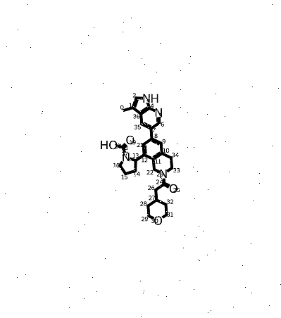 Cc1c[nH]c2ncc(-c3cc4c(c(C5CCCN5C(=O)O)c3)CN(C(=O)CC3CCOCC3)CC4)cc12